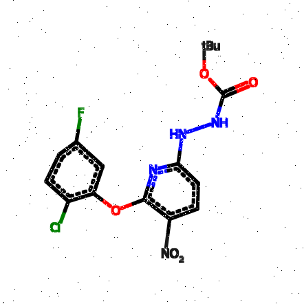 CC(C)(C)OC(=O)NNc1ccc([N+](=O)[O-])c(Oc2cc(F)ccc2Cl)n1